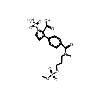 COS(=O)(=O)OCCCN(C)C(=O)c1ccc(-c2ccn(S(N)(=O)=O)c2C(=O)O)cc1